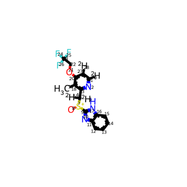 [2H]c1nc(C([2H])([2H])[S+]([O-])c2nc3ccccc3[nH]2)c(C)c(OCC(F)(F)F)c1[2H]